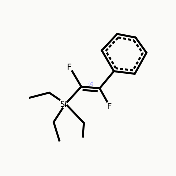 CC[Si](CC)(CC)/C(F)=C(\F)c1ccccc1